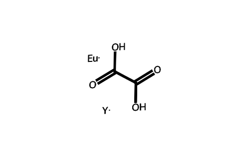 O=C(O)C(=O)O.[Eu].[Y]